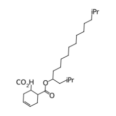 CC(C)CCCCCCCCCCC(CC(C)C)OC(=O)C1CC=CCC1C(=O)O